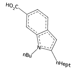 CCCCCCCc1cc2ccc(C(=O)O)cc2n1CCCC